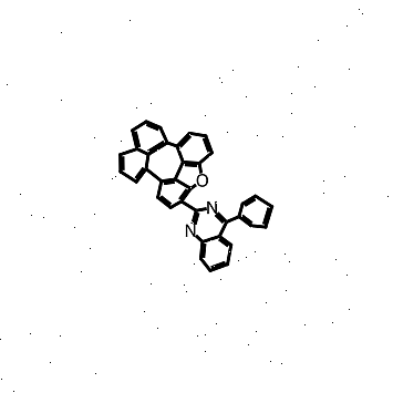 c1ccc(-c2nc(-c3ccc4c5c3oc3cccc(c35)-c3cccc5cccc-4c35)nc3ccccc23)cc1